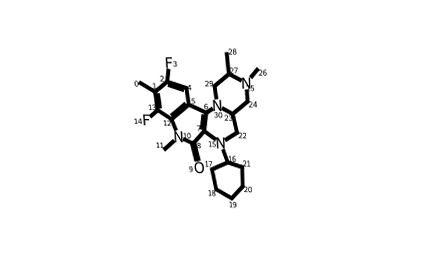 Cc1c(F)cc2c3c(c(=O)n(C)c2c1F)N(C1CCCCC1)CC1CN(C)C(C)CN31